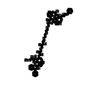 CC[C@H](NC)C(=O)N[C@@H]1C(=O)N2[C@@H](CC[C@@H]1CNC(=O)COCC(=O)NCCOCCOCCOCCNC(=O)[C@@H](NC(=O)[C@@H]1CC[C@@H]3CC[C@H](CCNCc4ccccc4)[C@H](NC(=O)[C@H](CC)NC)C(=O)N31)c1ccccc1)CC[C@H]2C(=O)NC(c1ccccc1)c1ccccc1